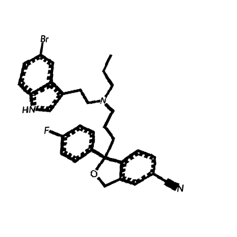 CCCN(CCCC1(c2ccc(F)cc2)OCc2cc(C#N)ccc21)CCc1c[nH]c2ccc(Br)cc12